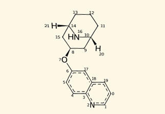 c1cnc2ccc(O[C@@H]3C[C@H]4CCC[C@@H](C3)N4)cc2c1